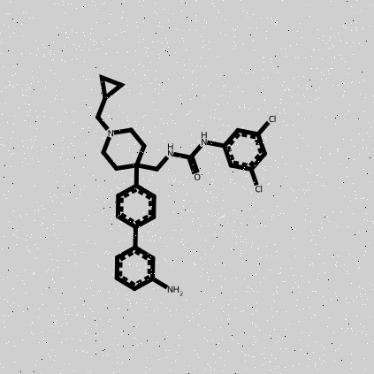 Nc1cccc(-c2ccc(C3(CNC(=O)Nc4cc(Cl)cc(Cl)c4)CCN(CC4CC4)CC3)cc2)c1